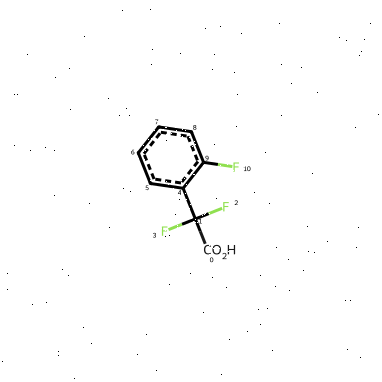 O=C(O)C(F)(F)c1ccccc1F